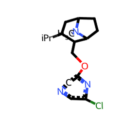 CC(C)C1CC2CCC(C1COc1cncc(Cl)n1)N2C